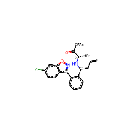 C=CC[C@H](N[C@H](C(=O)OC)C(C)C)c1ccccc1-c1noc2cc(Cl)ccc12